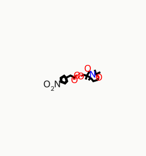 CC1(C)OCCC2(C)N1C(=O)C2(C)COOC(=O)Cc1ccc([N+](=O)[O-])cc1